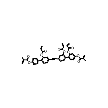 C=CC(=O)Oc1cc(C#Cc2ccc(-c3ccc(OC(=O)C(=C)C)cc3OC(=O)C=C)c(OC(=O)C=C)c2)ccc1-c1ccc(OC(=O)C(=C)C)cc1